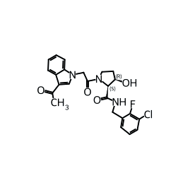 CC(=O)c1cn(CC(=O)N2CC[C@@H](O)[C@H]2C(=O)NCc2cccc(Cl)c2F)c2ccccc12